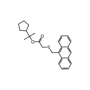 CC(C)(OC(=O)CSCc1c2ccccc2cc2ccccc12)C1CCCC1